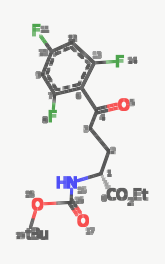 CCOC(=O)[C@@H](CCC(=O)c1c(F)cc(F)cc1F)NC(=O)OC(C)(C)C